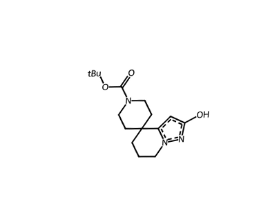 CC(C)(C)OC(=O)N1CCC2(CCCn3nc(O)cc32)CC1